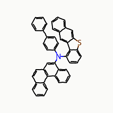 c1ccc(-c2ccc(N(c3cc4ccc5ccccc5c4c4ccccc34)c3cccc4sc5cc6ccccc6cc5c34)cc2)cc1